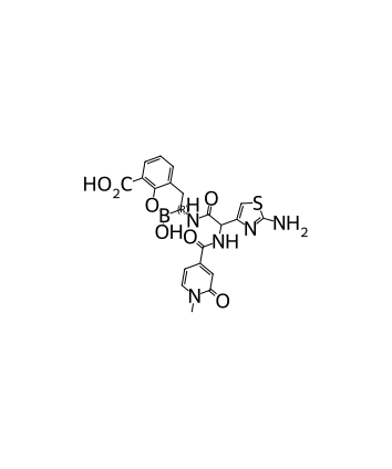 Cn1ccc(C(=O)NC(C(=O)N[C@H]2Cc3cccc(C(=O)O)c3OB2O)c2csc(N)n2)cc1=O